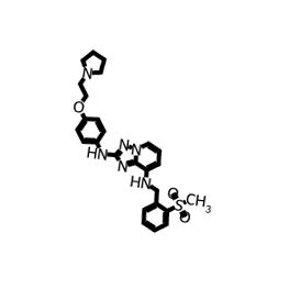 CS(=O)(=O)c1ccccc1CNc1cccn2nc(Nc3ccc(OCCN4CCCC4)cc3)nc12